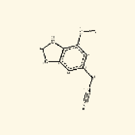 [C-]#[N+]Cc1cc(OC)c2c(c1)OCO2